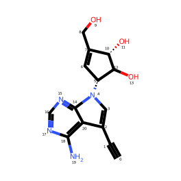 C#Cc1cn([C@@H]2C=C(CO)[C@H](O)C2O)c2ncnc(N)c12